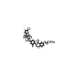 COOSc1ccc2c(c1)C(=O)N(c1ccc(NC(=O)NS(=O)(=O)c3ccc(Cl)s3)cc1F)CC2